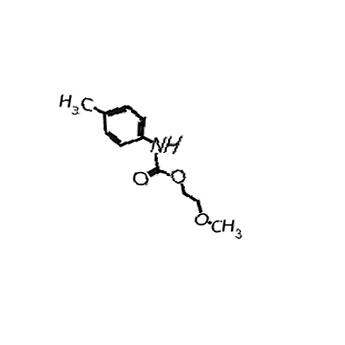 COCCOC(=O)Nc1ccc(C)cc1